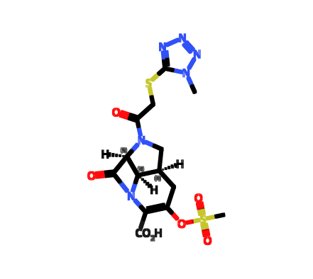 Cn1nnnc1SCC(=O)N1C[C@H]2CC(OS(C)(=O)=O)=C(C(=O)O)N3C(=O)[C@@H]1[C@@H]23